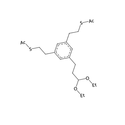 CCOC(CCc1cc(CCSC(C)=O)cc(CCSC(C)=O)c1)OCC